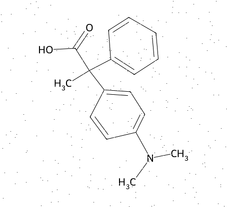 CN(C)c1ccc(C(C)(C(=O)O)c2ccccc2)cc1